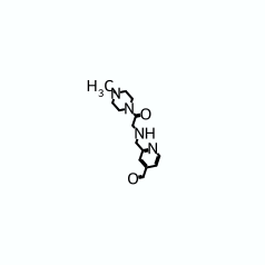 CN1CCN(C(=O)CNCc2cc(C=O)ccn2)CC1